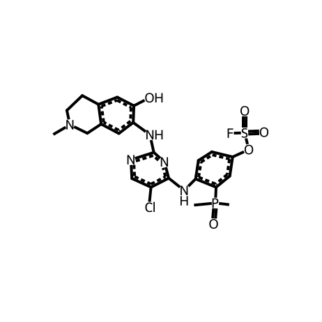 CN1CCc2cc(O)c(Nc3ncc(Cl)c(Nc4ccc(OS(=O)(=O)F)cc4P(C)(C)=O)n3)cc2C1